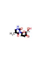 Cc1c[nH]c(=O)n(C2C=CC(=O)[C@@H](CO)O2)c1=O